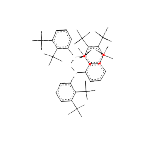 CC(C)(C)c1cccc([SiH](O[SiH](c2cccc(C(C)(C)C)c2C(C)(C)C)c2cccc(C(C)(C)C)c2C(C)(C)C)c2cccc(C(C)(C)C)c2C(C)(C)C)c1C(C)(C)C